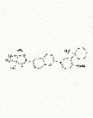 COc1ccc(-c2ccc3cc(B4OC(C)(C)C(C)(C)O4)ccc3c2)cc1C1(C)CCCCC1